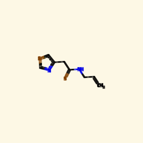 C=CCNC(=S)Cc1cscn1